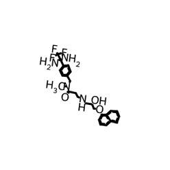 CN(Cc1ccc(C(N)(N)C(F)(F)F)cc1)C(=O)CCNCC(O)COc1cccc2ccccc12